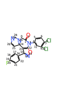 CC(=O)N(c1ccc(Cl)c(Cl)c1)c1onc(-c2ccc(F)cc2)c1-c1ccncn1